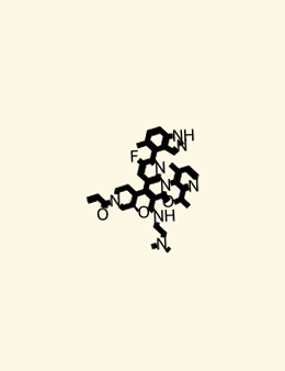 C=CC(=O)N1CCC(c2c(C(=O)NCCN(C)C)c(=O)n(-c3c(C)ccnc3C(C)C)c3nc(-c4c(C)ccc5[nH]ncc45)c(F)cc23)[C@@H](C)C1